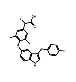 Cc1cc(C(F)C(=O)O)cc(C)c1Oc1ccc2[nH]cc(Cc3ccc(F)cc3)c2c1